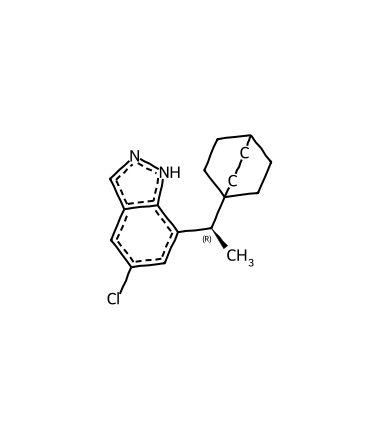 C[C@@H](c1cc(Cl)cc2cn[nH]c12)C12CCC(CC1)CC2